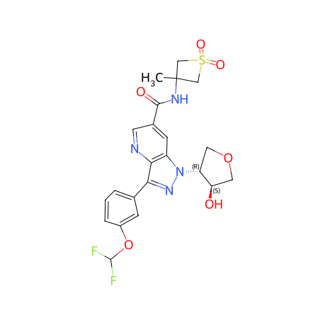 CC1(NC(=O)c2cnc3c(-c4cccc(OC(F)F)c4)nn([C@@H]4COC[C@H]4O)c3c2)CS(=O)(=O)C1